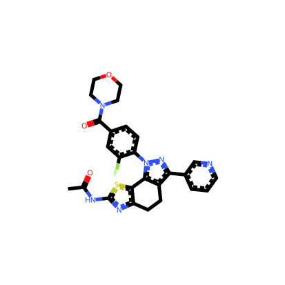 CC(=O)Nc1nc2c(s1)-c1c(c(-c3cccnc3)nn1-c1ccc(C(=O)N3CCOCC3)cc1F)CC2